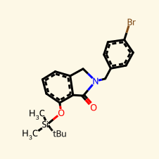 CC(C)(C)[Si](C)(C)Oc1cccc2c1C(=O)N(Cc1ccc(Br)cc1)C2